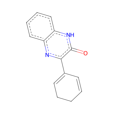 O=c1[nH]c2ccccc2nc1C1=CCCC=C1